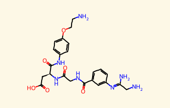 NCCOc1ccc(NC(=O)[C@H](CC(=O)O)NC(=O)CNC(=O)c2cccc(/N=C(\N)CN)c2)cc1